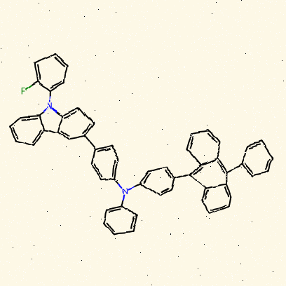 Fc1ccccc1-n1c2ccccc2c2cc(-c3ccc(N(c4ccccc4)c4ccc(-c5c6ccccc6c(-c6ccccc6)c6ccccc56)cc4)cc3)ccc21